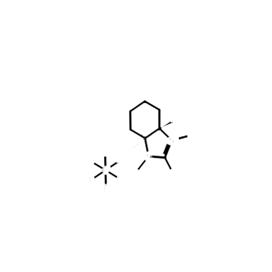 CN1C(Cl)=[N+](C)[C@H]2CCCC[C@@H]21.F[P-](F)(F)(F)(F)F